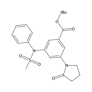 CC(C)(C)OC(=O)c1cc(N2CCCC2=O)cc(N(c2ccccc2)S(C)(=O)=O)c1